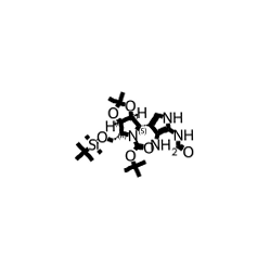 CC(C)(C)OC(=O)N1[C@H](CO[Si](C)(C)C(C)(C)C)[C@H]2OC(C)(C)O[C@H]2[C@@H]1c1c[nH]c(NC=O)c1N